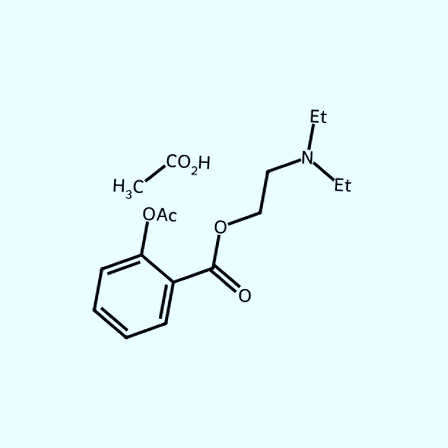 CC(=O)O.CCN(CC)CCOC(=O)c1ccccc1OC(C)=O